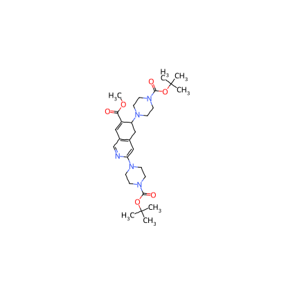 COC(=O)C1=Cc2cnc(N3CCN(C(=O)OC(C)(C)C)CC3)cc2CC1N1CCN(C(=O)OC(C)(C)C)CC1